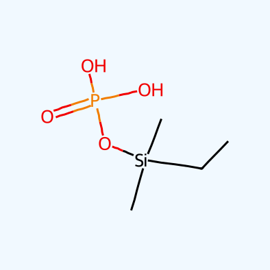 CC[Si](C)(C)OP(=O)(O)O